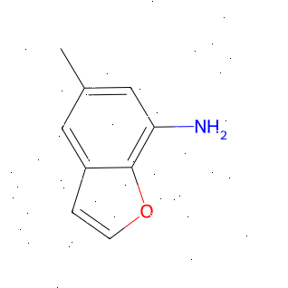 Cc1cc(N)c2occc2c1